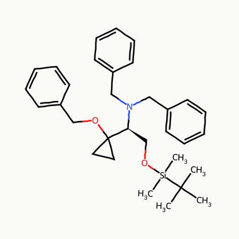 CC(C)(C)[Si](C)(C)OC[C@H](N(Cc1ccccc1)Cc1ccccc1)C1(OCc2ccccc2)CC1